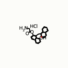 Cl.NCC(=O)Oc1ccc2ccccc2c1Cc1c(O)ccc2ccccc12